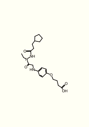 CCN(NC(=O)CCC1CCCC1)C(=O)CNc1ccc(OCCCC(=O)O)cc1